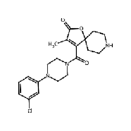 CC1=C(C(=O)N2CCN(c3cccc(Cl)c3)CC2)C2(CCNCC2)OC1=O